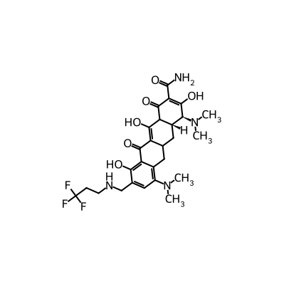 CN(C)c1cc(CNCCC(F)(F)F)c(O)c2c1CC1C[C@@H]3C(C(=O)C(C(N)=O)=C(O)[C@H]3N(C)C)C(O)=C1C2=O